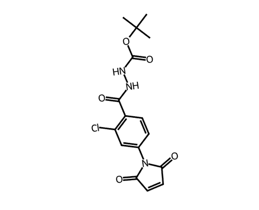 CC(C)(C)OC(=O)NNC(=O)c1ccc(N2C(=O)C=CC2=O)cc1Cl